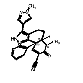 C[C@H]1C(=O)C(C#N)=C[C@]2(c3ccccc3)c3n[nH]c(-c4cnn(C)c4)c3CC[C@H]12